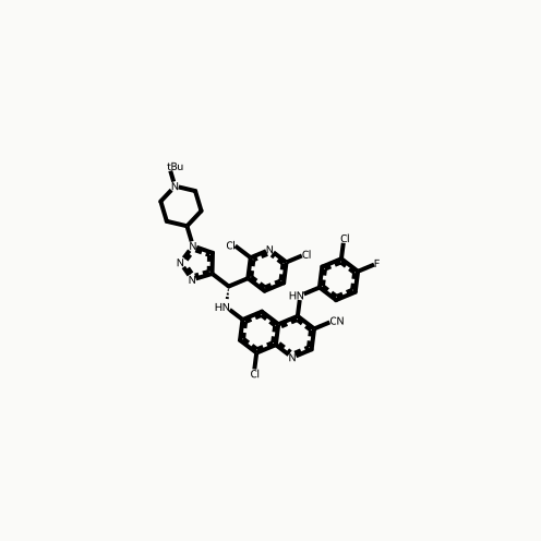 CC(C)(C)N1CCC(n2cc([C@@H](Nc3cc(Cl)c4ncc(C#N)c(Nc5ccc(F)c(Cl)c5)c4c3)c3ccc(Cl)nc3Cl)nn2)CC1